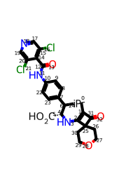 CC1=C(N[C@H](C(=O)O)C(c2ccc(NC(=O)c3c(Cl)cncc3Cl)cc2)C(C)C)C2(CCOCC2)C1=O